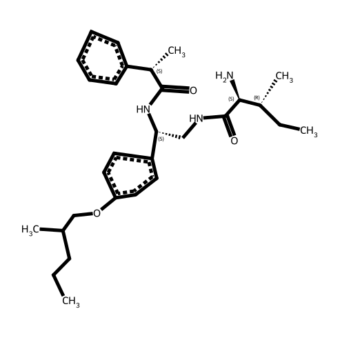 CCCC(C)COc1ccc([C@@H](CNC(=O)[C@@H](N)[C@H](C)CC)NC(=O)[C@@H](C)c2ccccc2)cc1